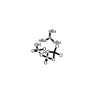 CCCCN(CCCC)CCCC.O=P(O)(O)OP1(=O)OC(Cl)(Cl)O1